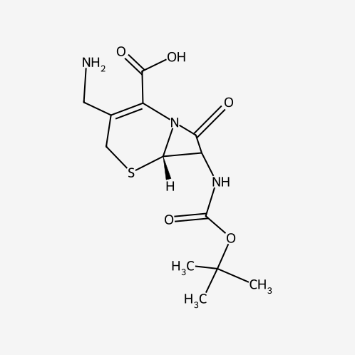 CC(C)(C)OC(=O)NC1C(=O)N2C(C(=O)O)=C(CN)CS[C@@H]12